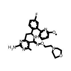 COc1cccc(-c2cc(F)ccc2C2Cc3nc(N)nc(C)c3C(=NOCCN3CCOCC3)N2)n1